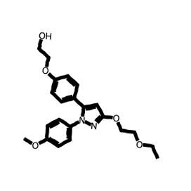 CCOCCOc1cc(-c2ccc(OCCO)cc2)n(-c2ccc(OC)cc2)n1